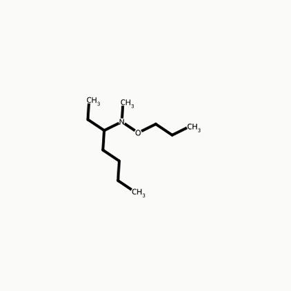 CCCCC(CC)N(C)OCCC